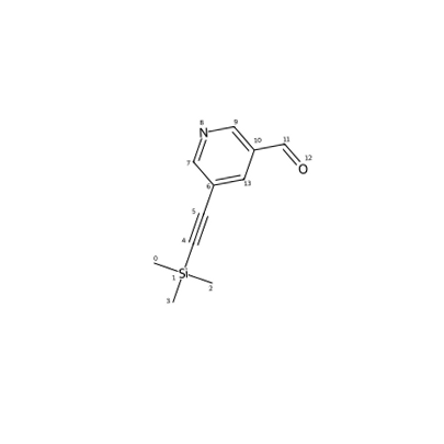 C[Si](C)(C)C#Cc1cncc(C=O)c1